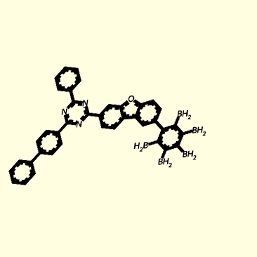 Bc1c(B)c(B)c(-c2ccc3oc4cc(-c5nc(-c6ccccc6)nc(-c6ccc(-c7ccccc7)cc6)n5)ccc4c3c2)c(B)c1B